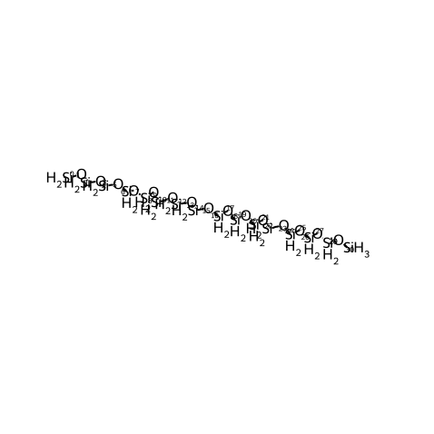 [SiH2]O[SiH2]O[SiH2]O[SiH2]O[SiH2]O[SiH2]O[SiH2]O[SiH2]O[SiH2]O[SiH2]O[SiH2]O[SiH2]O[SiH2]O[SiH2]O[SiH2]O[SiH3]